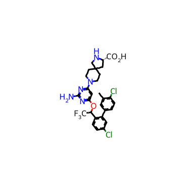 Cc1cc(-c2cc(Cl)ccc2C(Oc2cc(N3CCC4(CC3)CN[C@H](C(=O)O)C4)nc(N)n2)C(F)(F)F)ccc1Cl